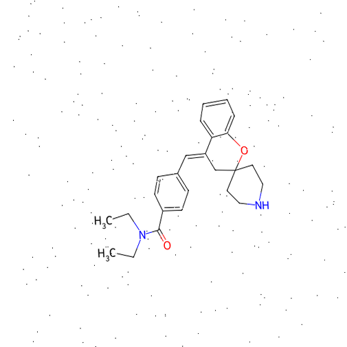 CCN(CC)C(=O)c1ccc(C=C2CC3(CCNCC3)Oc3ccccc32)cc1